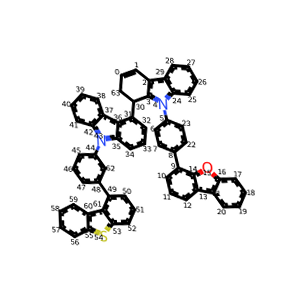 C1=Cc2c(n(-c3ccc(-c4cccc5c4oc4ccccc45)cc3)c3ccccc23)C(c2cccc3c2c2ccccc2n3-c2cccc(-c3cccc4sc5ccccc5c34)c2)C1